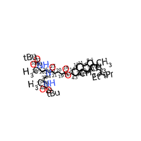 CC[C@H](CC[C@@H](C)C1CCC2C3CC=C4CC(OC(=O)CCCC(=O)N(CCC(C)NC(=O)OC(C)(C)C)CCC(C)NC(=O)OC(C)(C)C)CCC4(C)C3CCC21C)C(C)C